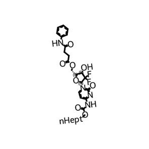 CCCCCCCOC(=O)Nc1ccn([C@@H]2O[C@H](COC(=O)CCC(=O)Nc3ccccc3)[C@@H](O)C2(F)F)c(=O)n1